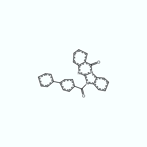 O=C(c1ccc(-c2ccccc2)cc1)n1c2ccccc2n2c(=O)c3ccccc3nc12